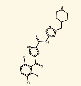 O=C(Nc1cnn(CC2CCNCC2)c1)c1cc(C(=O)c2c(Cl)ccc(Cl)c2F)c[nH]1